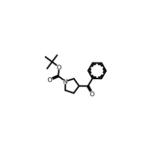 CC(C)(C)OC(=O)N1CCC(C(=O)c2ccccc2)C1